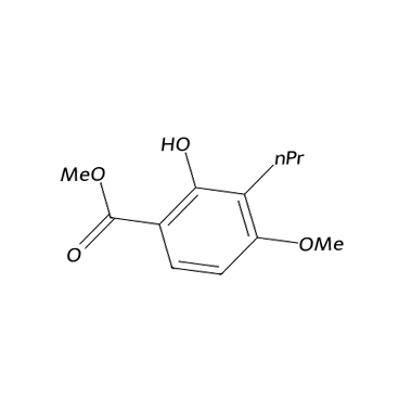 CCCc1c(OC)ccc(C(=O)OC)c1O